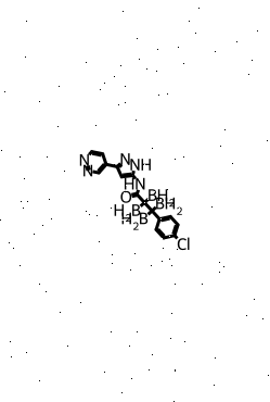 BC(B)(C(=O)Nc1cc(-c2ccnnc2)n[nH]1)C(B)(B)c1ccc(Cl)cc1